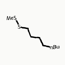 CCCCCCCCSSC